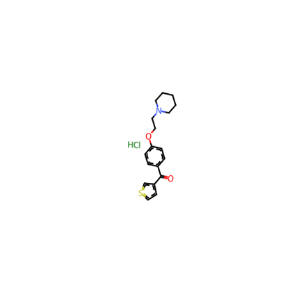 Cl.O=C(c1ccc(OCCN2CCCCC2)cc1)c1ccsc1